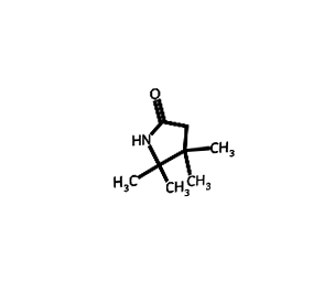 CC1(C)CC(=O)NC1(C)C